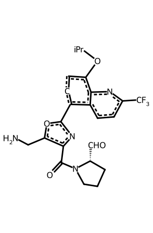 CC(C)Oc1ccc(-c2nc(C(=O)N3CCC[C@H]3C=O)c(CN)o2)c2ccc(C(F)(F)F)nc12